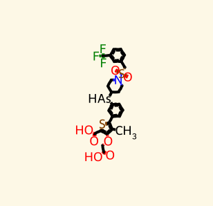 Cc1c(-c2cccc([AsH]C3CCN(S(=O)(=O)Cc4cccc(C(F)(F)F)c4)CC3)c2)sc(C(=O)O)c1OCC(=O)O